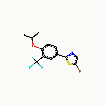 CC(C)Oc1ccc(-c2ncc(Br)s2)cc1C(F)(F)F